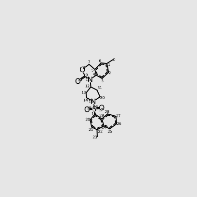 Cc1ccc2c(c1)COC(=O)N2C1CCN(S(=O)(=O)c2ccc(C)c3ccccc23)CC1